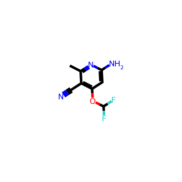 Cc1nc(N)cc(OC(F)F)c1C#N